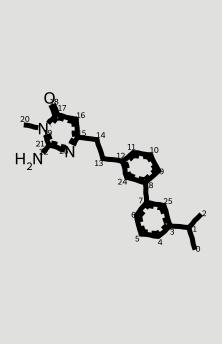 CC(C)c1cccc(-c2cccc(CCc3cc(=O)n(C)c(N)n3)c2)c1